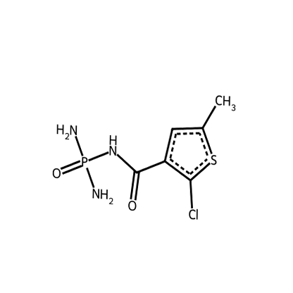 Cc1cc(C(=O)NP(N)(N)=O)c(Cl)s1